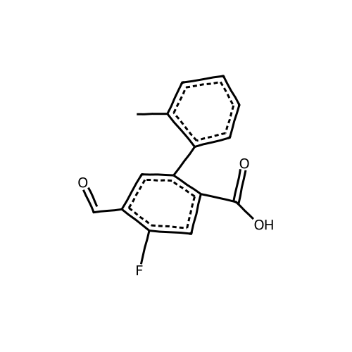 Cc1ccccc1-c1cc(C=O)c(F)cc1C(=O)O